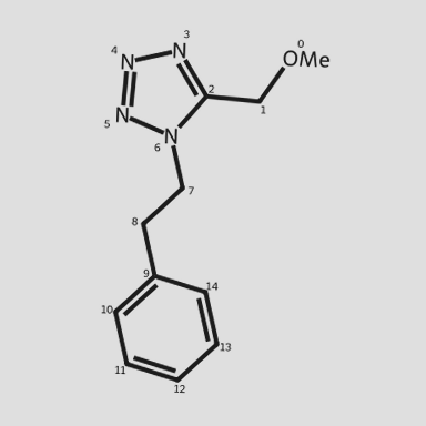 [CH2]OCc1nnnn1CCc1ccccc1